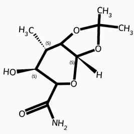 C[C@@H]1C2OC(C)(C)O[C@@H]2OC(C(N)=O)[C@H]1O